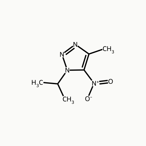 Cc1nnn(C(C)C)c1[N+](=O)[O-]